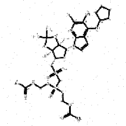 CC1(C)O[C@@H]2[C@H](O1)[C@@H](CS(=O)(=O)CP(=O)(OCOC(=O)C(C)(C)C)OCOC(=O)C(C)(C)C)O[C@H]2n1ccc2c(NC3CCCC3)c(C#N)c(Cl)nc21